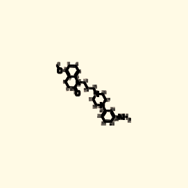 COc1cccc2c1CCC(=O)N2CCCN1CCN(c2cccc(N)c2)CC1